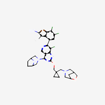 N#Cc1c(N)sc2c(F)c(F)cc(-c3ncc4c(N5CC6CCC(C5)N6)nc(OCC5(CN6CC7COC(C7)C6)CC5)nc4c3F)c12